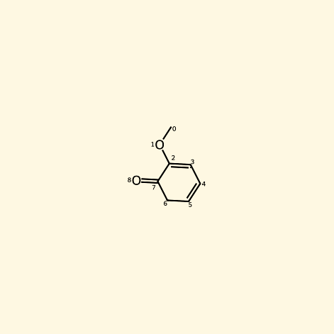 COC1=[C]C=CCC1=O